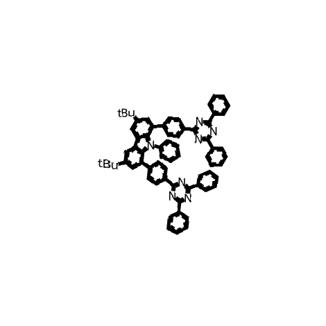 CC(C)(C)c1cc(-c2ccc(-c3nc(-c4ccccc4)nc(-c4ccccc4)n3)cc2)c2c(c1)c1cc(C(C)(C)C)cc(-c3ccc(-c4nc(-c5ccccc5)nc(-c5ccccc5)n4)cc3)c1n2-c1ccccc1